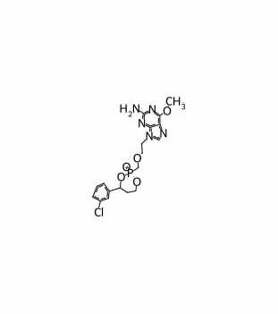 COc1nc(N)nc2c1ncn2CCOCP1(=O)OCCC(c2cccc(Cl)c2)O1